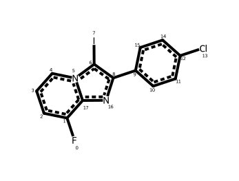 Fc1cccn2c(I)c(-c3ccc(Cl)cc3)nc12